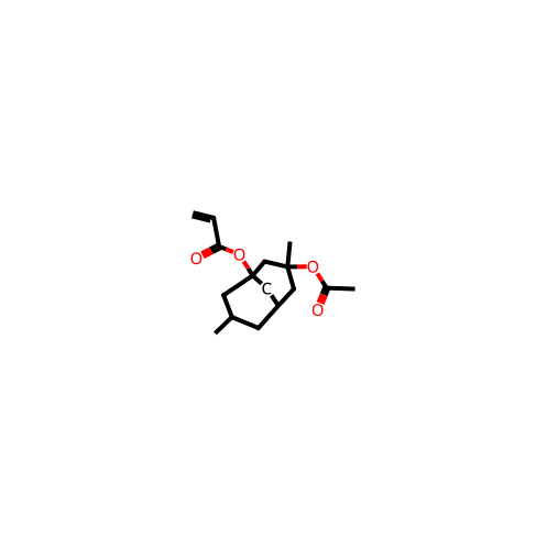 C=CC(=O)OC12CC(C)CC(CC(C)(OC(C)=O)C1)C2